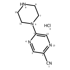 Cl.N#Cc1cnc(N2CCNCC2)cn1